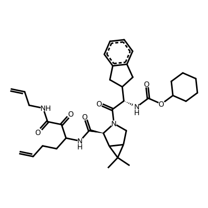 C=CCCC(NC(=O)[C@@H]1C2C(CN1C(=O)[C@@H](NC(=O)OC1CCCCC1)C1Cc3ccccc3C1)C2(C)C)C(=O)C(=O)NCC=C